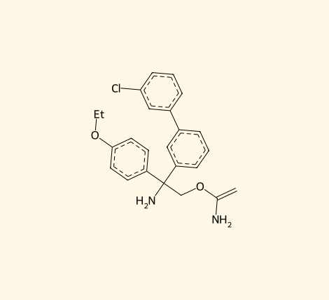 C=C(N)OCC(N)(c1ccc(OCC)cc1)c1cccc(-c2cccc(Cl)c2)c1